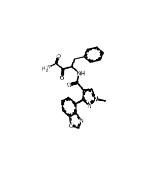 Cn1cc(C(=O)NC(Cc2ccccc2)C(=O)C(N)=O)c(-c2cccc3ocnc23)n1